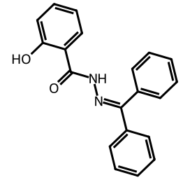 O=C(NN=C(c1ccccc1)c1ccccc1)c1ccccc1O